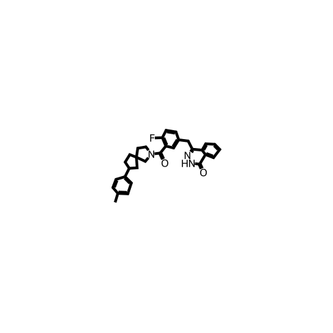 Cc1ccc(C2CCC3(CCN(C(=O)c4cc(Cc5n[nH]c(=O)c6ccccc56)ccc4F)C3)C2)cc1